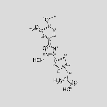 COc1ccc(-c2nc(-c3ccc(C[C@H](N)C(=O)O)cc3)no2)cc1OC.Cl